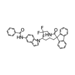 O=C(Nc1ccc2c(ccn2CCCCC2(C(=O)NCC(F)(F)F)c3ccccc3-c3ccccc32)c1)c1ccccc1